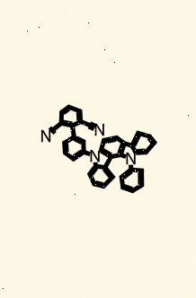 N#Cc1cccc(C#N)c1-c1cccc(-n2c3ccccc3c3c2ccc2c4ccccc4n(-c4ccccc4)c23)c1